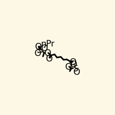 CCCOS(=O)(=O)C(C)OC(=O)CCCCCC(=O)OC(C)S(C)(=O)=O